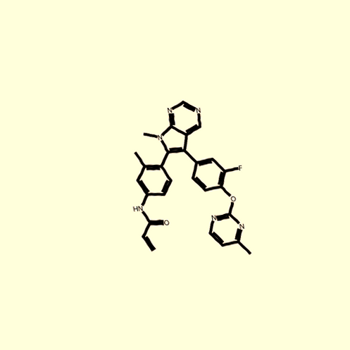 C=CC(=O)Nc1ccc(-c2c(-c3ccc(Oc4nccc(C)n4)c(F)c3)c3cncnc3n2C)c(C)c1